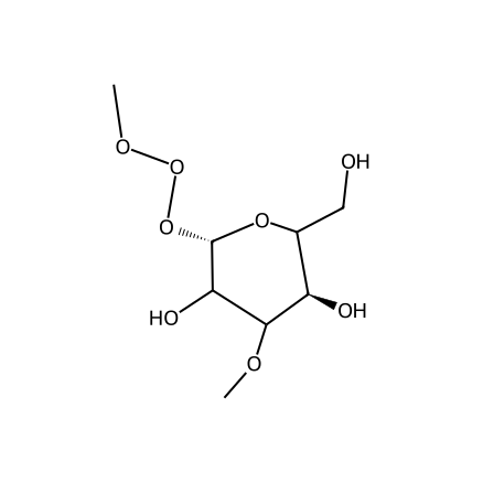 COOO[C@@H]1OC(CO)[C@@H](O)C(OC)C1O